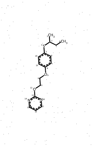 CCC(C)Sc1ccc(OCCOc2ncccn2)cc1